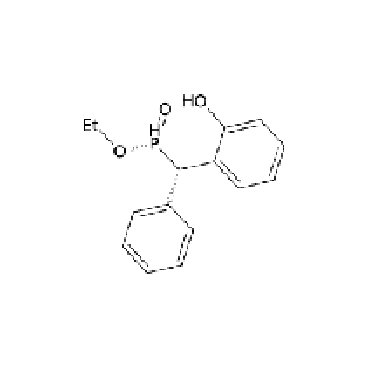 CCO[P@H](=O)[C@@H](c1ccccc1)c1ccccc1O